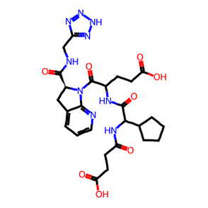 O=C(O)CCC(=O)NC(C(=O)NC(CCC(=O)O)C(=O)N1c2ncccc2C[C@H]1C(=O)NCc1nn[nH]n1)C1CCCC1